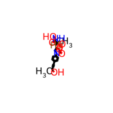 CC(O)C#Cc1ccc(N2C[C@H](C[C@](C)(C(=O)NO)[SH](=O)=O)OC2=O)cc1